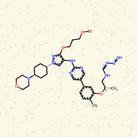 CCOCCCOc1nn([C@H]2CC[C@H](N3CCOCC3)CC2)cc1Nc1ncc(-c2ccc(C#N)c(O[C@@H](C)CN/C=N\N=N)c2)cn1